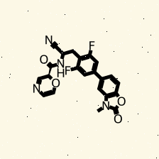 Cn1c(=O)oc2ccc(-c3cc(F)c(CC(C#N)NC(=O)[C@@H]4C=NC=CO4)c(F)c3)cc21